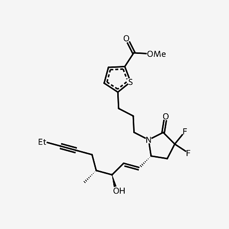 CCC#CC[C@@H](C)[C@H](O)C=C[C@H]1CC(F)(F)C(=O)N1CCCc1ccc(C(=O)OC)s1